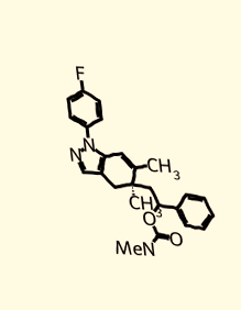 CNC(=O)OC(C[C@@]1(C)Cc2cnn(-c3ccc(F)cc3)c2C=C1C)c1ccccc1